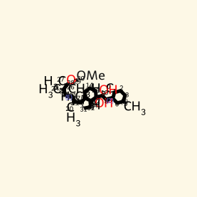 C=C1CC[C@H](C)C/C1=C/C(O)C1(O)CCC[C@]2(C)[C@@H]([C@H](C)/C=C/[C@H](C)C(C)(C)OCOC)CC[C@@H]12